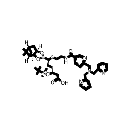 CC1(C)[C@@H]2C[C@H]3OB([C@H](CC[C@@H](CC(=O)O)O[Si](C)(C)C(C)(C)C)SCCNC(=O)c4ccc(CN(Cc5ccccn5)Cc5ccccn5)nc4)O[C@@]3(C)[C@H]1C2